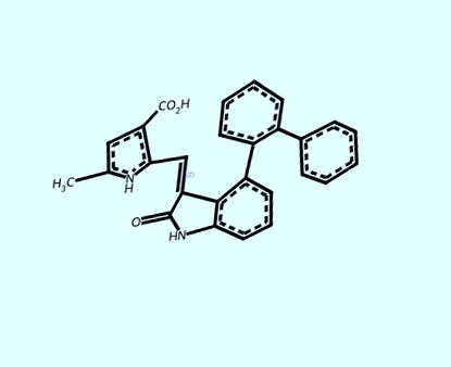 Cc1cc(C(=O)O)c(/C=C2\C(=O)Nc3cccc(-c4ccccc4-c4ccccc4)c32)[nH]1